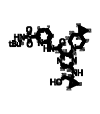 CC(C)(C)NS(=O)(=O)c1cccc(NC(=O)c2ncc(NC3(CO)CC3)nc2N2CCC3(CC2)CC3)n1